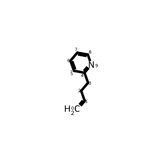 C=CCCc1[c]cccn1